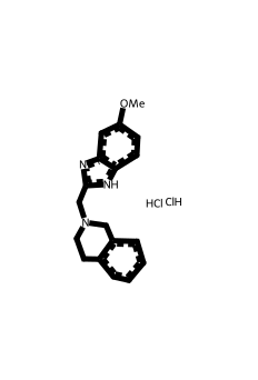 COc1ccc2[nH]c(CN3CCc4ccccc4C3)nc2c1.Cl.Cl